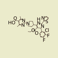 CCOC(=O)C1=C(C2CCN(c3nc(C)c(C(=O)O)c(C)n3)CC2)NC(c2nccs2)=NC1c1ccc(F)c(F)c1Cl